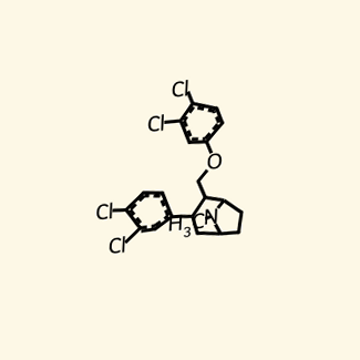 CN1C2CCC1C(COc1ccc(Cl)c(Cl)c1)C(c1ccc(Cl)c(Cl)c1)C2